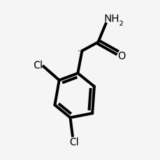 NC(=O)[CH]c1ccc(Cl)cc1Cl